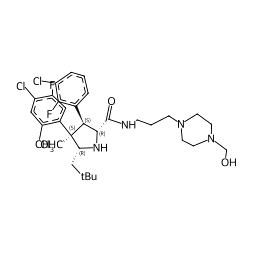 Cc1cc(Cl)c(F)cc1[C@]1(C=O)[C@@H](CC(C)(C)C)N[C@@H](C(=O)NCCCN2CCN(CO)CC2)[C@@H]1c1cccc(Cl)c1F